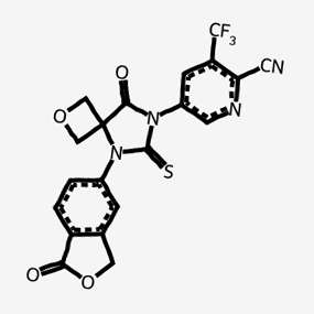 N#Cc1ncc(N2C(=O)C3(COC3)N(c3ccc4c(c3)COC4=O)C2=S)cc1C(F)(F)F